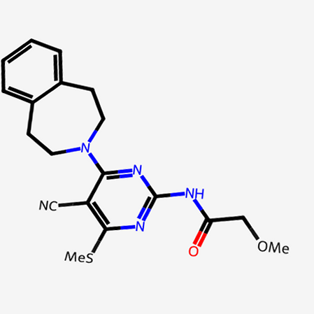 COCC(=O)Nc1nc(SC)c(C#N)c(N2CCc3ccccc3CC2)n1